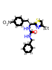 CCc1csc([C@H](Cc2ccc([N+](=O)[O-])cc2)NC(=O)NCc2ccccc2)n1